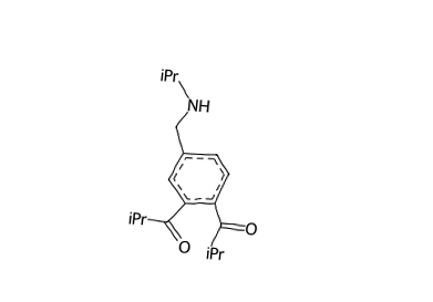 CC(C)NCc1ccc(C(=O)C(C)C)c(C(=O)C(C)C)c1